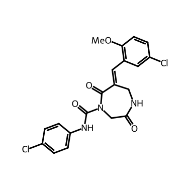 COc1ccc(Cl)cc1C=C1CNC(=O)CN(C(=O)Nc2ccc(Cl)cc2)C1=O